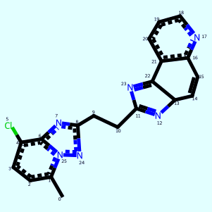 Cc1ccc(Cl)c2nc(CCC3=NC4C=Cc5ncccc5C4=N3)nn12